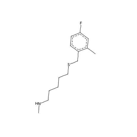 CNCCCCCSCc1ccc(F)cc1C